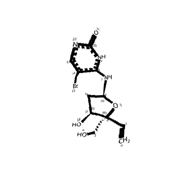 C=C[C@]1(CO)O[C@H](Nc2[nH]c(=O)ncc2Br)C[C@@H]1O